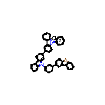 CC12CC=CC=C1c1cc(-c3ccc4c5ccccc5n(-c5cccc(-c6ccc7sc8ccccc8c7c6)c5)c4c3)ccc1N2c1ccccc1